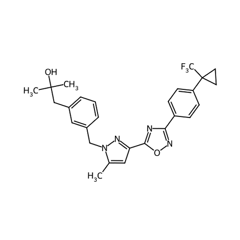 Cc1cc(-c2nc(-c3ccc(C4(C(F)(F)F)CC4)cc3)no2)nn1Cc1cccc(CC(C)(C)O)c1